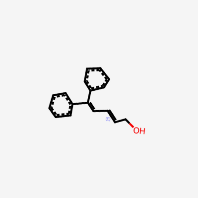 OC/C=C/C=C(c1ccccc1)c1ccccc1